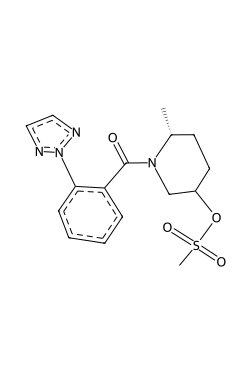 C[C@@H]1CCC(OS(C)(=O)=O)CN1C(=O)c1ccccc1-n1nccn1